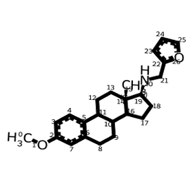 COc1ccc2c(c1)CCC1C2CC[C@@]2(C)C1CC[C@@H]2NCc1ccco1